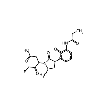 CCC(=O)Nc1cccn([C@H]2CC(C)N(C(CC(=O)O)C(=O)CF)C2=O)c1=O